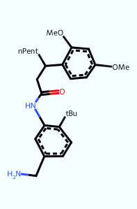 CCCCCC(CC(=O)Nc1cc(CN)ccc1C(C)(C)C)c1ccc(OC)cc1OC